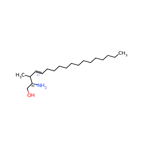 CCCCCCCCCCCCC/C=C/C(C)[C@@H](N)CO